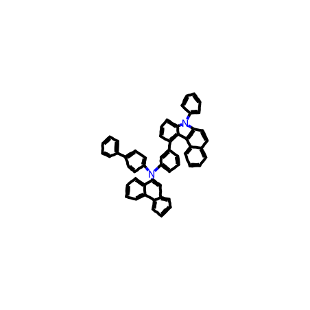 c1ccc(-c2ccc(N(c3cccc(-c4cccc5c4c4c6ccccc6ccc4n5-c4ccccc4)c3)c3cc4ccccc4c4ccccc34)cc2)cc1